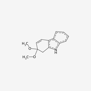 COC1(OC)C=Cc2c([nH]c3ccccc23)C1